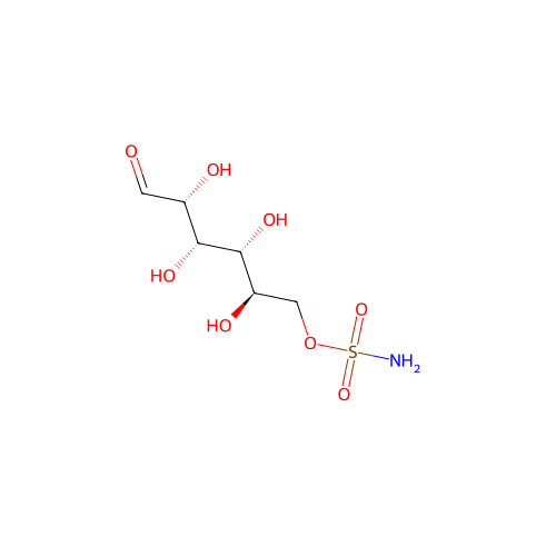 NS(=O)(=O)OC[C@@H](O)[C@@H](O)[C@H](O)[C@@H](O)C=O